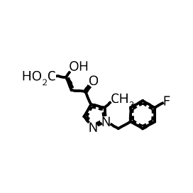 Cc1c(C(=O)C=C(O)C(=O)O)cnn1Cc1ccc(F)cc1